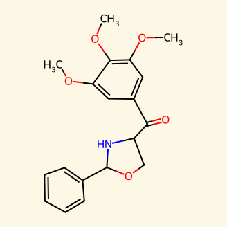 COc1cc(C(=O)C2COC(c3ccccc3)N2)cc(OC)c1OC